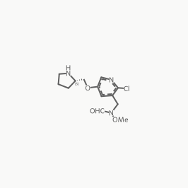 CON(C=O)Cc1cc(OC[C@@H]2CCCN2)cnc1Cl